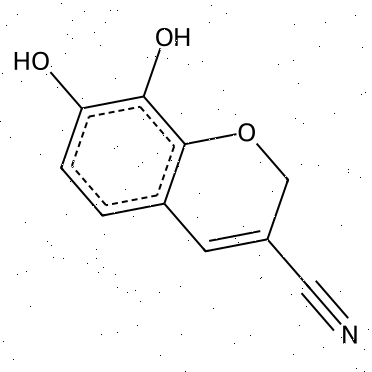 N#CC1=Cc2ccc(O)c(O)c2OC1